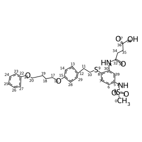 CS(=O)(=O)Nc1ccc(SCCc2ccc(OCCCCOc3ccccc3)cc2)c(NC(=O)CCC(=O)O)c1